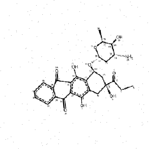 CCC(=O)[C@]1(O)Cc2c(O)c3c(c(O)c2[C@@H](O[C@H]2C[C@@H](N)[C@H](O)[C@H](C)O2)C1)C(=O)c1ccccc1C3=O